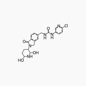 O=C(NCc1ccc2c(c1)CN(C1CCC(O)NC1O)C2=O)Nc1ccc(Cl)nc1